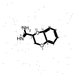 N=C(N)C1COc2ccccc2O1